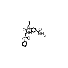 C=CCN(C(=O)NCC(=O)Oc1ccccc1)c1ccc(C(N)=O)cc1